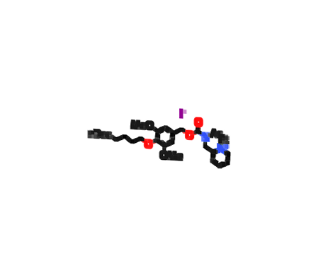 CCCCCCCCCCCCCCOc1c(OC)cc(COC(=O)N(Cc2cccc[n+]2CC)C(C)=O)cc1OC.[I-]